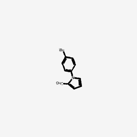 CCC(C)c1ccc(-n2cccc2C=O)cc1